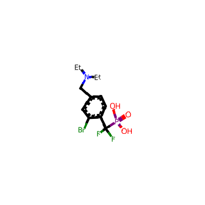 CCN(CC)Cc1ccc(C(F)(F)P(=O)(O)O)c(Br)c1